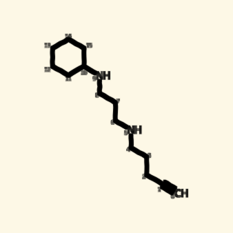 C#CCCCNCCCNC1CCCCC1